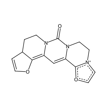 O=C1N2CC[n+]3ccoc3C2=CC2=C3OC=CC3CCN12